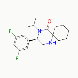 CC(C)N1C(=O)C2(CCCCC2)NC[C@H]1c1cc(F)cc(F)c1